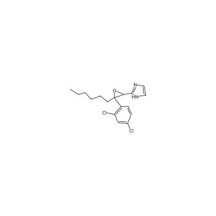 CCCCCCC1(c2ccc(Cl)cc2Cl)OC1c1ncc[nH]1